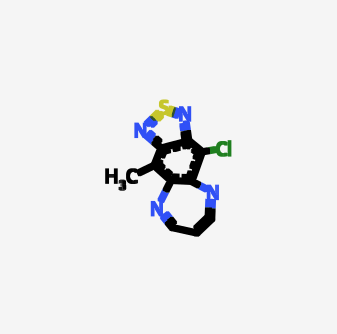 Cc1c2c(c(Cl)c3nsnc13)N=C=CC=N2